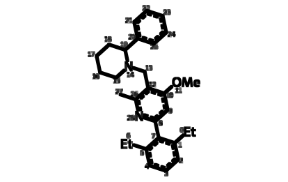 CCc1cccc(CC)c1-c1cc(OC)c(CN2CCCCC2c2ccccc2)c(C)n1